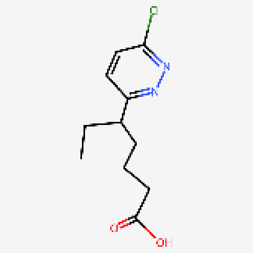 CCC(CCCC(=O)O)c1ccc(Cl)nn1